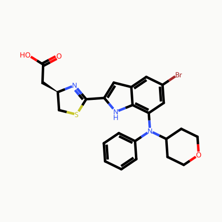 O=C(O)C[C@@H]1CSC(c2cc3cc(Br)cc(N(c4ccccc4)C4CCOCC4)c3[nH]2)=N1